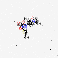 C#Cc1ccc(C(=O)NC2(C(=O)Nc3ccc(N4C(=O)CCC4(C)C)c(C)c3)CCOC2)s1